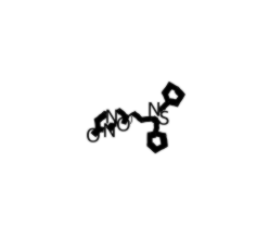 O=c1ccn2c(n1)O[C@H](CCc1nc(-c3ccccc3)sc1-c1ccccc1)C2